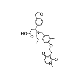 CCCN(Cc1ccc(OCCn2c(=O)ccn(C)c2=O)c(C)c1)C(CC(=O)O)c1ccc2c(c1)CCO2